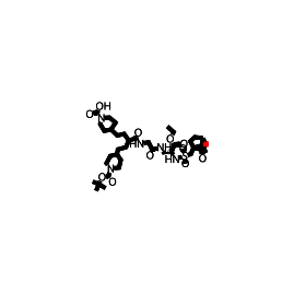 CCOC(=O)[C@H](CNC(=O)CNC(=O)C(CCC1CCN(C(=O)O)CC1)CCC1CCN(C(=O)OC(C)(C)C)CC1)NS(=O)(=O)CC12CCC(CC1=O)C2(C)C